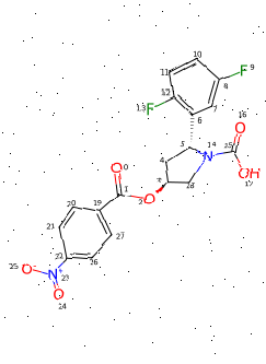 O=C(O[C@H]1C[C@H](c2cc(F)ccc2F)N(C(=O)O)C1)c1ccc([N+](=O)[O-])cc1